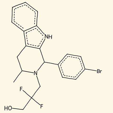 CC1Cc2c([nH]c3ccccc23)C(c2ccc(Br)cc2)N1CC(F)(F)CO